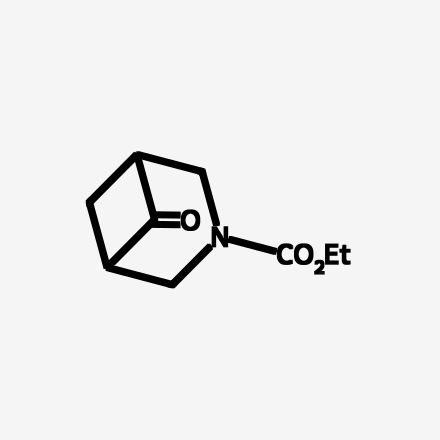 CCOC(=O)N1CC2CC(C1)C2=O